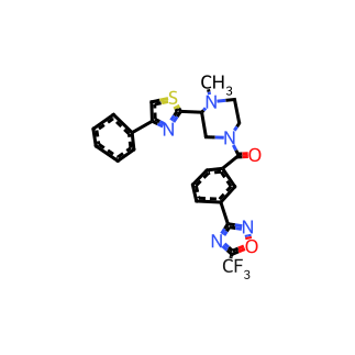 CN1CCN(C(=O)c2cccc(-c3noc(C(F)(F)F)n3)c2)CC1c1nc(-c2ccccc2)cs1